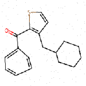 O=C(c1ccccc1)c1sccc1CC1CCCCC1